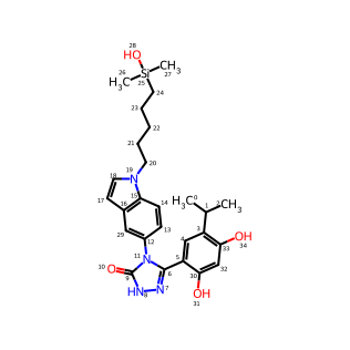 CC(C)c1cc(-c2n[nH]c(=O)n2-c2ccc3c(ccn3CCCCC[Si](C)(C)O)c2)c(O)cc1O